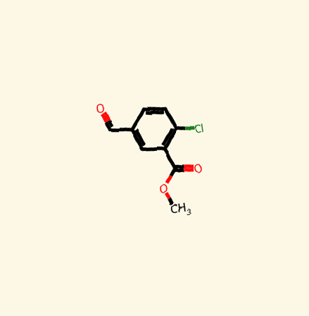 COC(=O)c1cc(C=O)ccc1Cl